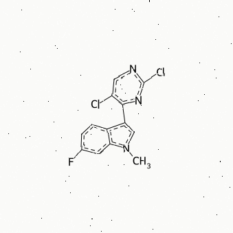 Cn1cc(-c2nc(Cl)ncc2Cl)c2ccc(F)cc21